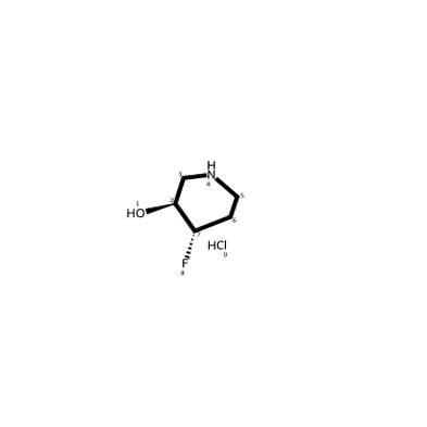 Cl.O[C@H]1CNCC[C@@H]1F